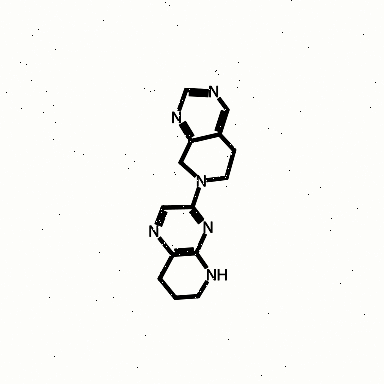 c1ncc2c(n1)CN(c1cnc3c(n1)NCCC3)CC2